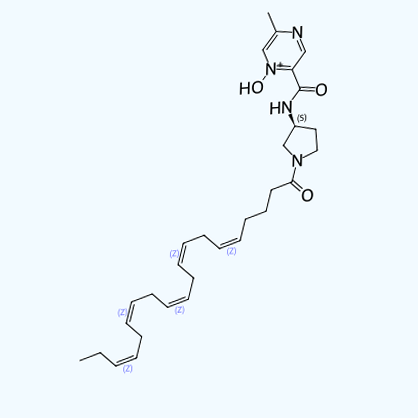 CC/C=C\C/C=C\C/C=C\C/C=C\C/C=C\CCCC(=O)N1CC[C@H](NC(=O)c2cnc(C)c[n+]2O)C1